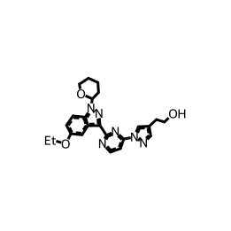 CCOc1ccc2c(c1)c(-c1nccc(-n3cc(CCO)cn3)n1)nn2C1CCCCO1